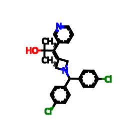 CC(C)(O)C(=C1CN(C(c2ccc(Cl)cc2)c2ccc(Cl)cc2)C1)c1cccnc1